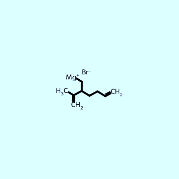 C=CCCC([CH2][Mg+])C(=C)C.[Br-]